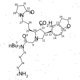 CCCCN(CCCCN)C(=O)CN1C[C@H](c2ccc3c(c2)CCO3)[C@@H](C(=O)O)[C@@H]1CCCN1CCCC1=O